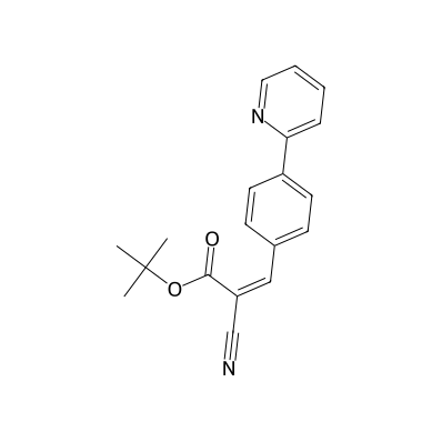 CC(C)(C)OC(=O)C(C#N)=Cc1ccc(-c2ccccn2)cc1